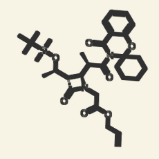 C=CCOC(=O)CN1C(=O)[C@H]([C@@H](C)O[Si](C)(C)C(C)(C)C)[C@H]1[C@@H](C)C(=O)N1C(=O)c2ccccc2OC12CCCCC2